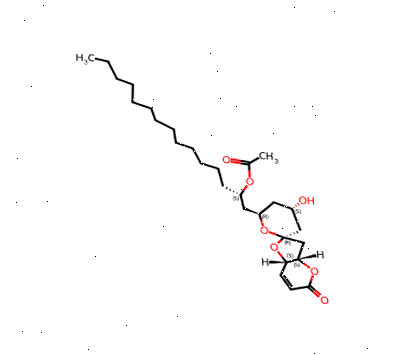 CCCCCCCCCCCCC[C@@H](C[C@H]1C[C@H](O)C[C@@]2(C[C@@H]3OC(=O)C=C[C@@H]3O2)O1)OC(C)=O